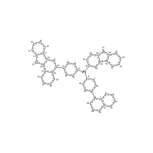 c1ccc2c(-c3ccc(N(c4ccc(-c5cc6c7ccccc7oc6c6ccccc56)cc4)c4ccc5sc6ccccc6c5c4)cc3)cccc2c1